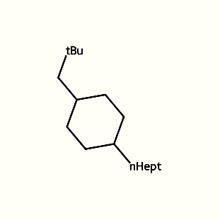 CCCCCCCC1CCC(CC(C)(C)C)CC1